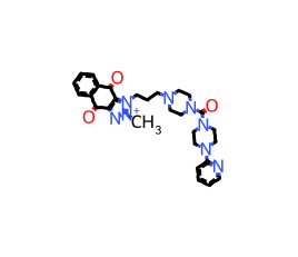 C[n+]1nc2c(n1CCCN1CCN(C(=O)N3CCN(c4ccccn4)CC3)CC1)C(=O)c1ccccc1C2=O